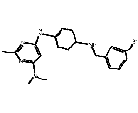 Cc1nc(NC2CCC(NCc3cccc(Br)c3)CC2)cc(N(C)C)n1